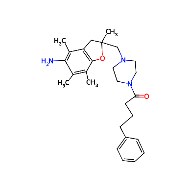 Cc1c(C)c2c(c(C)c1N)CC(C)(CN1CCN(C(=O)CCCc3ccccc3)CC1)O2